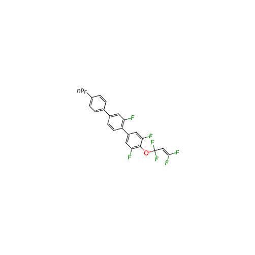 CCCc1ccc(-c2ccc(-c3cc(F)c(OC(F)(F)C=C(F)F)c(F)c3)c(F)c2)cc1